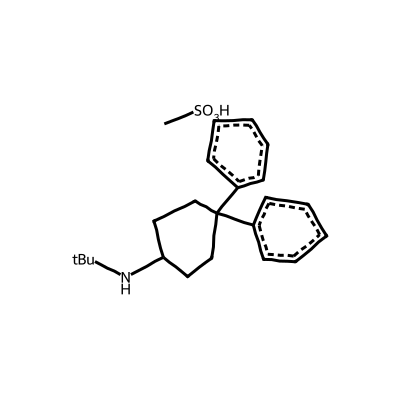 CC(C)(C)NC1CCC(c2ccccc2)(c2ccccc2)CC1.CS(=O)(=O)O